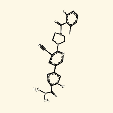 CN(C)C(=O)c1ccc(-c2cnc(N3CCN(C(=O)c4c(F)cccc4F)CC3)c(C#N)c2)cc1Cl